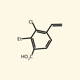 C=Cc1ccc(C(=O)O)c(CC)c1Cl